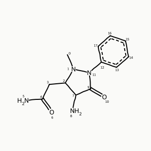 CN1C(CC(N)=O)C(N)C(=O)N1c1ccccc1